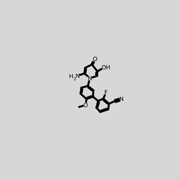 COc1ccc(-n2cc(O)c(=O)cc2N)cc1-c1cccc(C#N)c1F